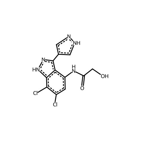 O=C(CO)Nc1cc(Cl)c(Cl)c2[nH]nc(-c3cn[nH]c3)c12